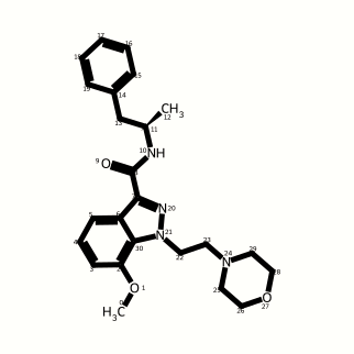 COc1cccc2c(C(=O)N[C@H](C)Cc3ccccc3)nn(CCN3CCOCC3)c12